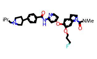 CNC(=O)n1ccc2cc(Oc3ccnc(NC(=O)c4ccc(C5CCN(CC(C)C)CC5)cc4)c3)c(OCCCF)cc21